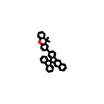 CC1(C)c2cc(-c3ccc4c(c3)C3(c5ccccc5-c5ccccc53)c3cc5ccccc5cc3-4)ccc2OC2=CC=CCC21